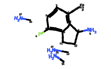 CCc1ccc(F)c2c1C(N)CC2.CN.CN.CN